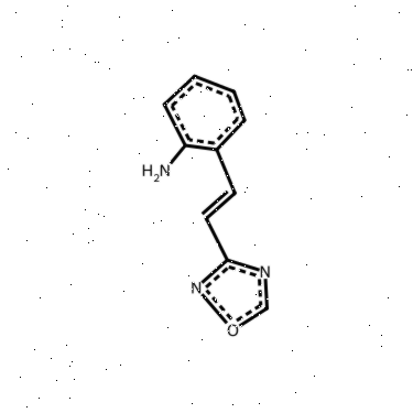 Nc1ccccc1C=Cc1ncon1